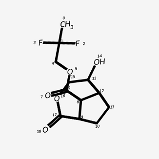 CC(F)(F)COC(=O)C1C2CCC1C(O)COC2=O